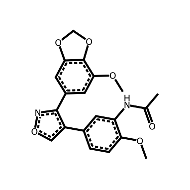 COc1ccc(-c2conc2-c2cc(OC)c3c(c2)OCO3)cc1NC(C)=O